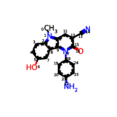 Cn1c2ccc(O)cc2c2c1cc(C#N)c(=O)n2-c1ccc(N)cc1